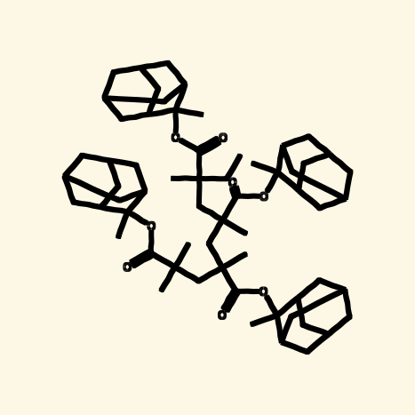 CCC(C)(CC(C)(CC(C)(CC(C)(C)C(=O)OC1(C)C2CC3CC(C2)CC1C3)C(=O)OC1(C)C2CC3CC(C2)CC1C3)C(=O)OC1(C)C2CC3CC(C2)CC1C3)C(=O)OC1(C)C2CC3CC(C2)CC1C3